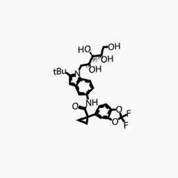 CC(C)(C)c1cc2cc(NC(=O)C3(c4ccc5c(c4)OC(F)(F)O5)CC3)ccc2n1C[C@H](O)[C@@H](O)[C@H](O)CO